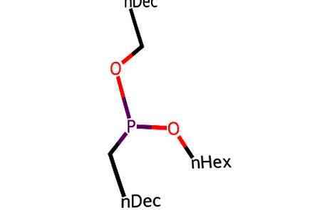 CCCCCCCCCCCOP(CCCCCCCCCCC)OCCCCCC